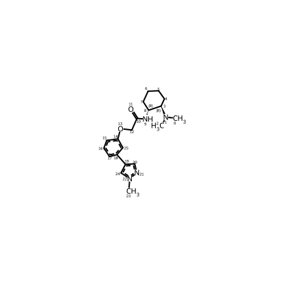 CN(C)[C@@H]1CCCC[C@H]1NC(=O)COc1c[c]cc(-c2cnn(C)c2)c1